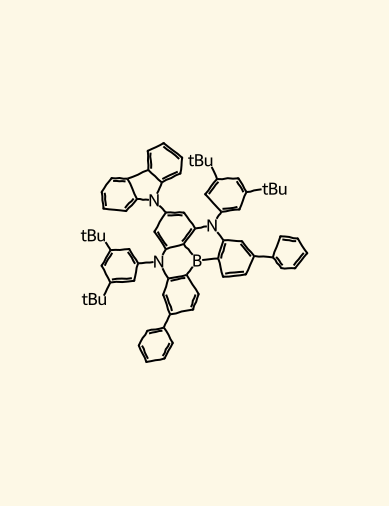 CC(C)(C)c1cc(N2c3cc(-c4ccccc4)ccc3B3c4ccc(-c5ccccc5)cc4N(c4cc(C(C)(C)C)cc(C(C)(C)C)c4)c4cc(-n5c6ccccc6c6ccccc65)cc2c43)cc(C(C)(C)C)c1